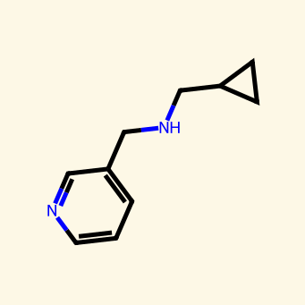 c1cncc(CNCC2CC2)c1